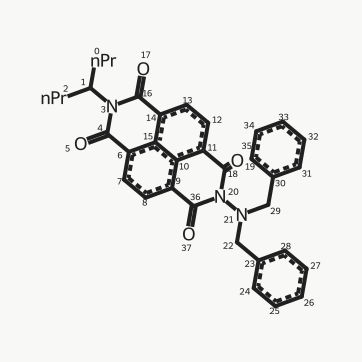 CCCC(CCC)N1C(=O)c2ccc3c4c(ccc(c24)C1=O)C(=O)N(N(Cc1ccccc1)Cc1ccccc1)C3=O